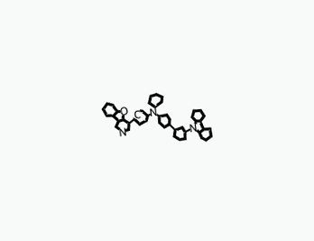 c1ccc(N(c2ccc(-c3cccc(-n4c5ccccc5c5ccccc54)c3)cc2)c2ccc(-c3cncc4c3oc3ccccc34)cc2)cc1